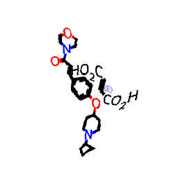 O=C(C=Cc1ccc(OC2CCN(C3CCC3)CC2)cc1)N1CCOCC1.O=C(O)/C=C/C(=O)O